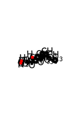 CC1(C)[C@@H](C(=O)NCC(=O)O[C@H]2CN3CCC2CC3)CC[C@]2(C)[C@H]3C(=O)C=C4[C@@H]5C[C@@](C)(C(=O)OCc6ccccc6)CC[C@]5(C)CC[C@@]4(C)[C@]3(C)CC[C@@H]12